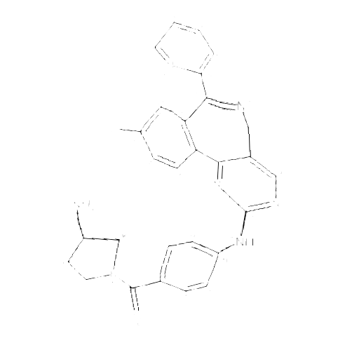 NC1CCN(C(=O)c2ccc(Nc3ncc4c(n3)-c3ccc(Cl)cc3C(c3ccccn3)=NC4)cc2)C1